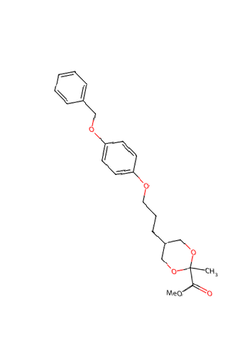 COC(=O)C1(C)OCC(CCCOc2ccc(OCc3ccccc3)cc2)CO1